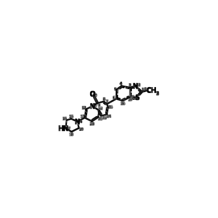 Cc1nc2ccc(C3=C\C(=O)N4C=C(N5CCNCC5)C=C\C4=C/C=C/3)cc2s1